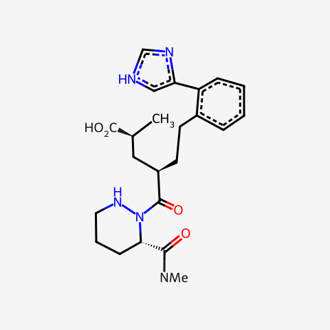 CNC(=O)[C@@H]1CCCNN1C(=O)[C@H](CCc1ccccc1-c1c[nH]cn1)C[C@H](C)C(=O)O